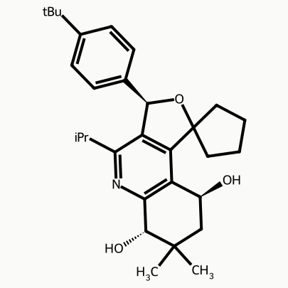 CC(C)c1nc2c(c3c1[C@@H](c1ccc(C(C)(C)C)cc1)OC31CCCC1)[C@@H](O)CC(C)(C)[C@@H]2O